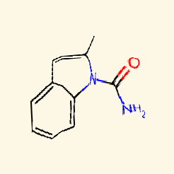 Cc1cc2ccccc2n1C(N)=O